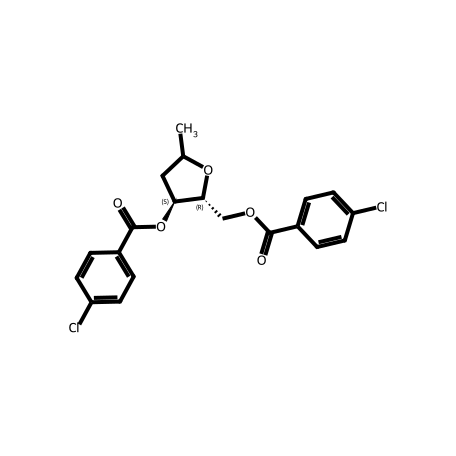 CC1C[C@H](OC(=O)c2ccc(Cl)cc2)[C@@H](COC(=O)c2ccc(Cl)cc2)O1